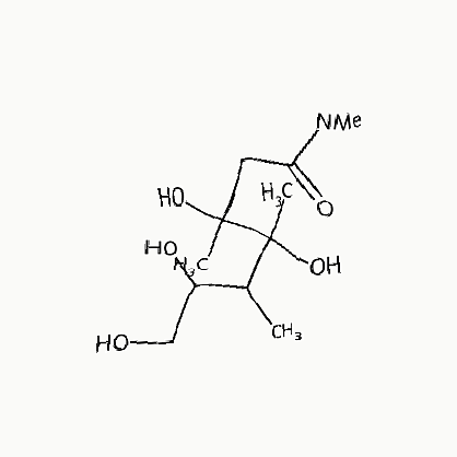 CNC(=O)CC(C)(O)C(C)(O)C(C)C(O)CO